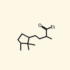 CCC(=O)C(C)CCC1CCC(C)C1(C)C